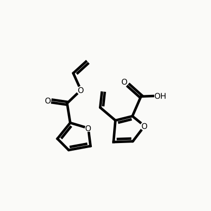 C=COC(=O)c1ccco1.C=Cc1ccoc1C(=O)O